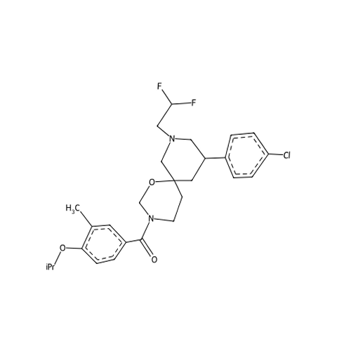 Cc1cc(C(=O)N2CCC3(CC(c4ccc(Cl)cc4)CN(CC(F)F)C3)OC2)ccc1OC(C)C